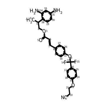 [CH2]C(COC(=O)/C=C/c1ccc(OC(F)(F)c2ccc(OCCC#N)cc2)cc1)c1ccc(N)cc1N